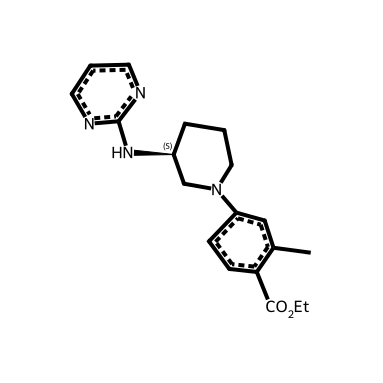 CCOC(=O)c1ccc(N2CCC[C@H](Nc3ncccn3)C2)cc1C